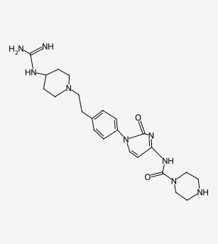 N=C(N)NC1CCN(CCc2ccc(-n3ccc(NC(=O)N4CCNCC4)nc3=O)cc2)CC1